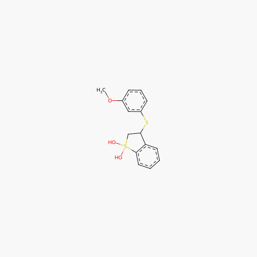 COc1cccc(SC2CS(O)(O)c3ccccc32)c1